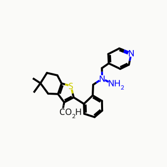 CC1(C)CCc2sc(-c3ccccc3CN(N)Cc3ccncc3)c(C(=O)O)c2C1